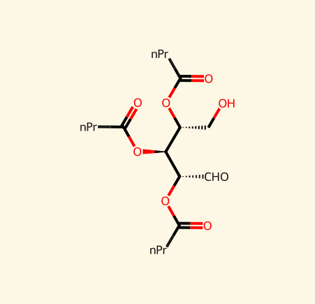 CCCC(=O)O[C@H]([C@H](C=O)OC(=O)CCC)[C@@H](CO)OC(=O)CCC